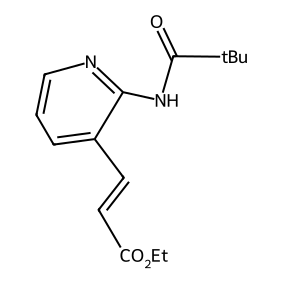 CCOC(=O)C=Cc1cccnc1NC(=O)C(C)(C)C